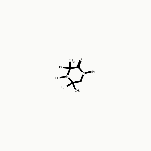 CCC1(C)C(=O)N(C(C)C)CC(C)(C)N1O